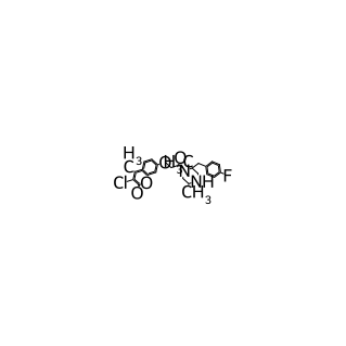 Cc1c(Cl)c(=O)oc2cc(OCC(=O)N3CC(C)NCC3(C)Cc3ccc(F)cc3)ccc12